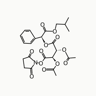 CC(=O)O[C@@H](C(=O)O[C@H](C(=O)OCC(C)C)c1ccccc1)[C@@H](OC(C)=O)C(=O)ON1C(=O)CCC1=O